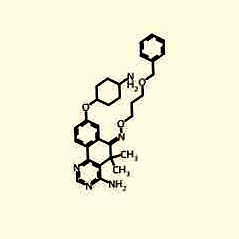 CC1(C)/C(=N/OCCCOCc2ccccc2)c2cc(OC3CCC(N)CC3)ccc2-c2ncnc(N)c21